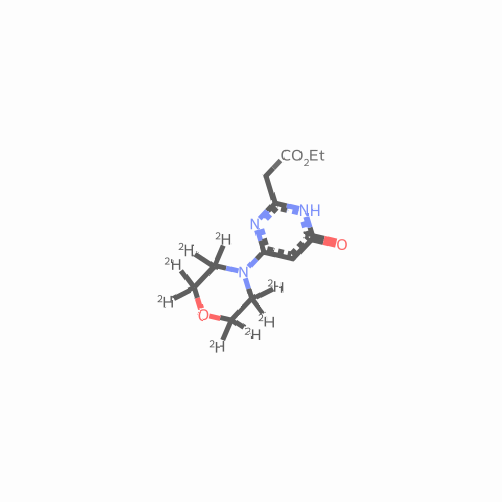 [2H]C1([2H])OC([2H])([2H])C([2H])([2H])N(c2cc(=O)[nH]c(CC(=O)OCC)n2)C1([2H])[2H]